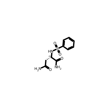 NC(=O)C[C@H](NS(=O)(=O)c1ccccc1)C(N)=O